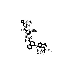 COCC(C)(C)c1nnc2ccc(O[C@@H]3CC[C@H](NC(=O)Nc4cc(C(C)(C)C)nc(C(=O)NCC5(N(C)C)CCC5)n4)c4ccccc43)cn12